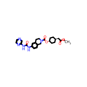 COC(=O)C[C@H]1CC[C@H](OC(=O)N2CCc3cc(NC(=O)Nc4cnccn4)ccc3C2)CC1